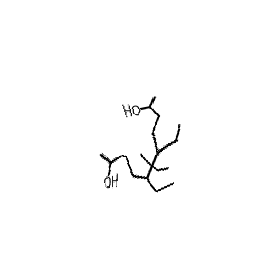 CCC(CCC(C)O)C(C)(C)C(CC)CCC(C)O